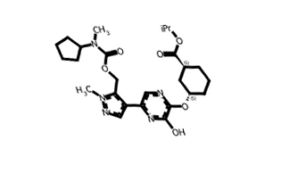 CC(C)OC(=O)[C@H]1CCC[C@H](Oc2ncc(-c3cnn(C)c3COC(=O)N(C)C3CCCC3)nc2O)C1